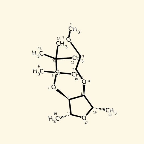 COCCO[C@@H]1[C@H](O[Si](C)(C)C(C)(C)C)[C@@H](C)O[C@H]1C